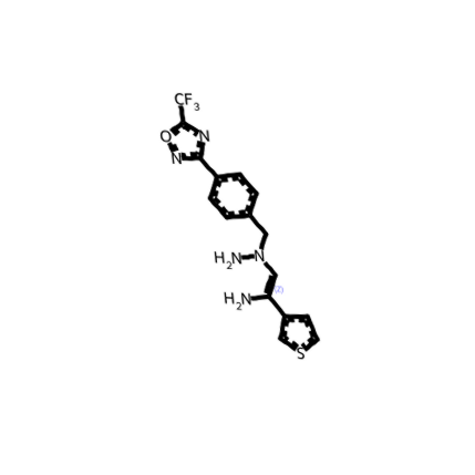 N/C(=C\N(N)Cc1ccc(-c2noc(C(F)(F)F)n2)cc1)c1ccsc1